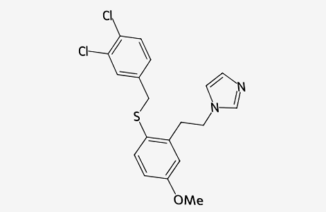 COc1ccc(SCc2ccc(Cl)c(Cl)c2)c(CCn2ccnc2)c1